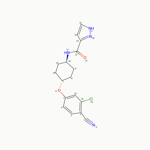 N#Cc1ccc(O[C@H]2CC[C@H](NC(=O)c3cc[nH]n3)CC2)cc1Cl